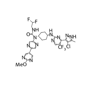 COc1ncc(-c2cnc(N(C(=O)NCC(F)F)[C@H]3CC[C@H](Nc4ncc(C(F)(F)F)c(-c5n[nH]c(C)c5Cl)n4)CC3)cn2)cn1